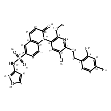 COc1nc(OCc2ccc(F)cc2F)c(Cl)cc1-n1c(=O)ccc2cc(S(=O)(=O)Nc3ccon3)ccc21